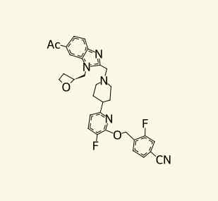 CC(=O)c1ccc2nc(CN3CCC(c4ccc(F)c(OCc5ccc(C#N)cc5F)n4)CC3)n(C[C@@H]3CCO3)c2c1